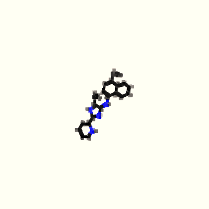 COc1ccc(N=C2N=C(c3ccccn3)N=C2C)c2ccccc12